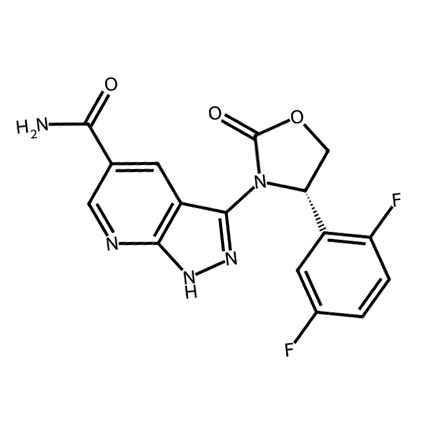 NC(=O)c1cnc2[nH]nc(N3C(=O)OC[C@@H]3c3cc(F)ccc3F)c2c1